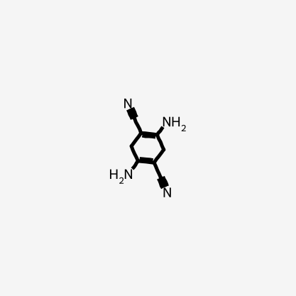 N#CC1=C(N)CC(C#N)=C(N)C1